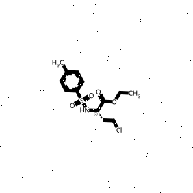 CCOC(=O)[C@H](CCCl)NS(=O)(=O)c1ccc(C)cc1